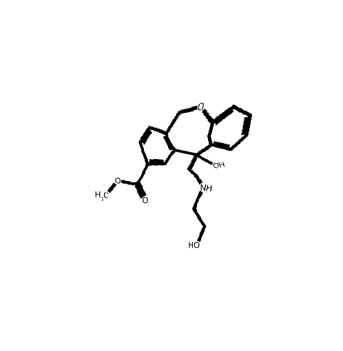 COC(=O)c1ccc2c(c1)C(O)(CNCCO)c1ccccc1OC2